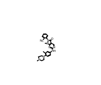 Cc1cc(Nc2ncc3c(=O)n(-c4ccccc4C#N)n(C)c3n2)ccc1N1CCN(C)CC1